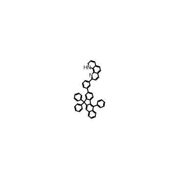 C1=Cc2ccc3ccc(-c4cccc(-c5ccc6c(c5)C(c5ccccc5)(c5ccccc5)c5cc7ccccc7c(-c7ccccc7)c5-6)c4)nc3c2NC1